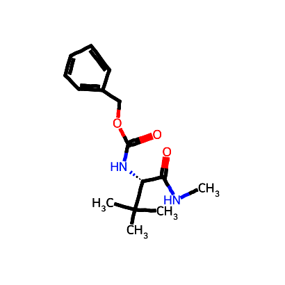 CNC(=O)[C@@H](NC(=O)OCc1ccccc1)C(C)(C)C